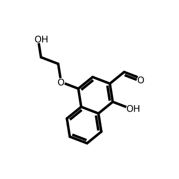 O=Cc1cc(OCCO)c2ccccc2c1O